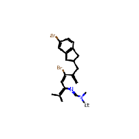 C=C(CC1Cc2ccc(Br)cc2C1)/C(Br)=C\C(/N=C/N(C)CC)=C(C)C